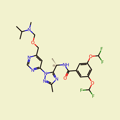 Cc1nc([C@H](C)NC(=O)c2cc(OC(F)F)cc(OC(F)F)c2)n(-c2cc(COCN(C)C(C)C)ncn2)n1